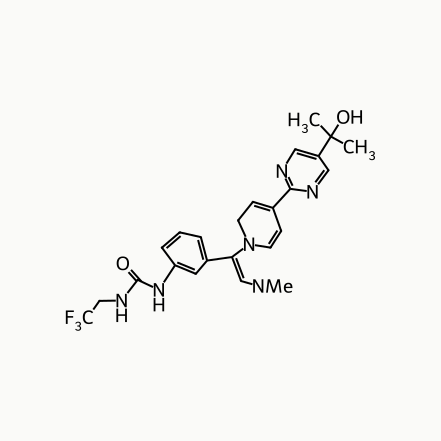 CN/C=C(/c1cccc(NC(=O)NCC(F)(F)F)c1)N1C=CC(c2ncc(C(C)(C)O)cn2)=CC1